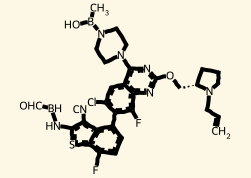 C=CCN1CCC[C@H]1COc1nc(N2CCN(B(C)O)CC2)c2cc(Cl)c(-c3ccc(F)c4sc(NBC=O)c(C#N)c34)c(F)c2n1